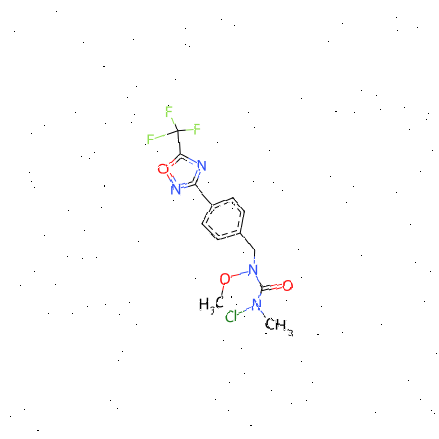 CON(Cc1ccc(-c2noc(C(F)(F)F)n2)cc1)C(=O)N(C)Cl